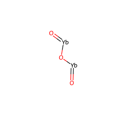 [O]=[Yb][O][Yb]=[O]